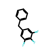 Fc1cc(Cc2cc[c]cc2)cc(F)c1F